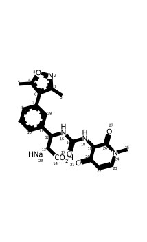 Cc1noc(C)c1-c1cccc(C(CC(=O)O)NC(=O)NC2C(=O)C=CN(C)C2=O)c1.[NaH]